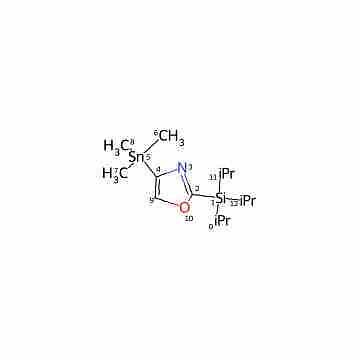 CC(C)[Si](c1n[c]([Sn]([CH3])([CH3])[CH3])co1)(C(C)C)C(C)C